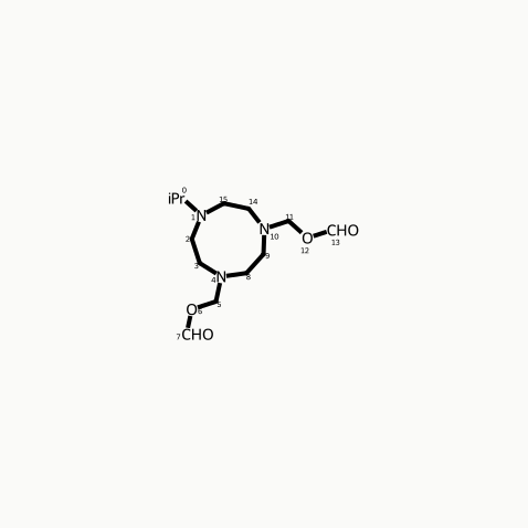 CC(C)N1CCN(COC=O)CCN(COC=O)CC1